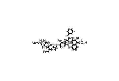 CSCC[C@H](NC(=O)[C@H](CC(C)C)NC(=O)CNC(=O)[C@@H](NC(=O)[C@H](Cc1ccccc1)NC(=O)[C@H](Cc1ccccc1)NC(=O)[C@@H](N)CC(=O)O)C(C)C)C(N)=O